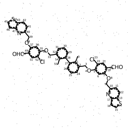 Cc1c(COc2cc(OCc3ccc4sccc4n3)c(C=O)cc2Cl)cccc1-c1cccc(COc2cc(OCc3ccc4sccc4n3)c(C=O)cc2Cl)c1C